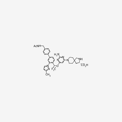 CC(=O)NCc1ccc(-c2ccc([C@@H](Oc3cc(N4CCC5(CC4)CN[C@H](C(=O)O)C5)nc(N)n3)C(F)(F)F)c(-n3ccc(C)n3)c2)cc1